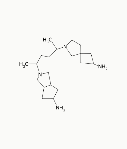 CC(CCC(C)N1CCC2(CC(N)C2)C1)N1CC2CC(N)CC2C1